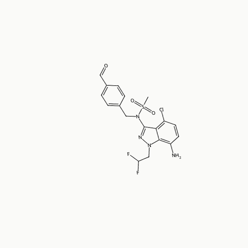 CS(=O)(=O)N(Cc1ccc(C=O)cc1)c1nn(CC(F)F)c2c(N)ccc(Cl)c12